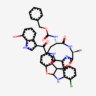 CC(C)[C@@H]1NC(=O)[C@@H](NC(=O)OCc2ccccc2)Cc2ccc3c(c2)[C@@]2(c4cccc(Br)c4NC2O3)c2oc1nc2C(=O)NCC(=O)c1c[nH]c2c(O)cccc12